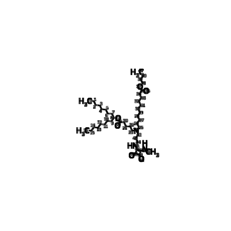 CCCCCCCCC(CCCCCCCC)OC(=O)CCCCN(CCCCCCCCCCC(=O)OCCCC)CCCNc1c(NC)c(=O)c1=O